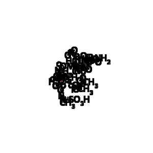 C#CCOC(=O)N(C)Cc1cc(NC(=O)[C@H](CCCNC(N)=O)NC(=O)[C@@H](NC(=O)CCOCCN2C(=O)C=CC2=O)C(C)C)ccc1COC(=O)N(C)CCN(C)C(=O)Oc1cc(-c2sc3ncnc(O[C@H](Cc4ccccc4OCc4ccnc(-c5ccccc5OC)n4)C(=O)O)c3c2-c2ccc(OCCN3CC[N+](C)(CCCS(=O)(=O)O)CC3)c(Cl)c2C)ccc1F